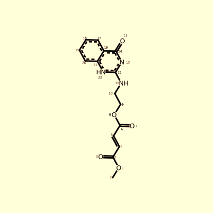 COC(=O)/C=C/C(=O)OCCNc1nc(=O)c2ccccc2[nH]1